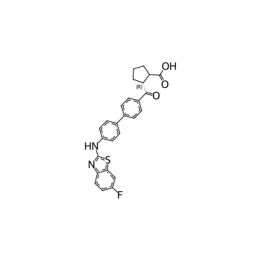 O=C(O)C1CCC[C@H]1C(=O)c1ccc(-c2ccc(Nc3nc4ccc(F)cc4s3)cc2)cc1